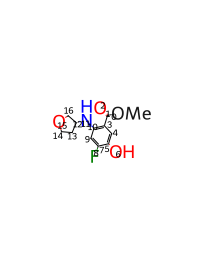 COC(=O)c1cc(O)c(F)cc1N[C@@H]1CCOC1